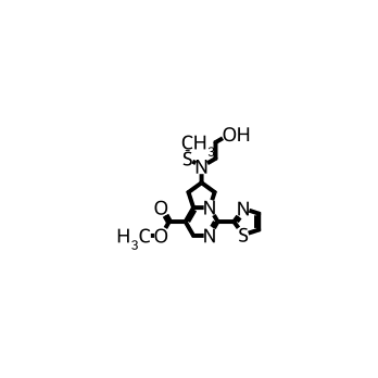 COC(=O)C1=C2CC(N(CCO)SC)CN2C(c2nccs2)=NC1